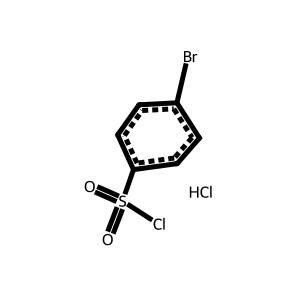 Cl.O=S(=O)(Cl)c1ccc(Br)cc1